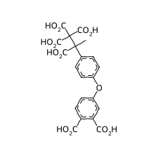 CC(C(=O)O)(c1ccc(Oc2ccc(C(=O)O)c(C(=O)O)c2)cc1)C(C(=O)O)(C(=O)O)C(=O)O